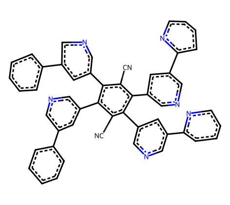 N#Cc1c(-c2cncc(-c3ccccc3)c2)c(-c2cncc(-c3ccccc3)c2)c(C#N)c(-c2cncc(-c3ccccn3)c2)c1-c1cncc(-c2ccccn2)c1